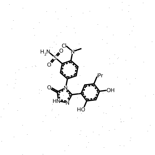 CC(C)c1cc(-c2n[nH]c(=O)n2-c2ccc(N(C)Cl)c(S(N)(=O)=O)c2)c(O)cc1O